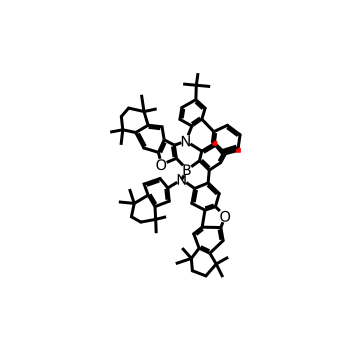 Cc1cc2c3c(c1)N(c1ccc(C(C)(C)C)cc1-c1ccccc1)c1c(oc4cc5c(cc14)C(C)(C)CCC5(C)C)B3N(c1ccc3c(c1)C(C)(C)CCC3(C)C)c1cc3c(cc1-2)oc1cc2c(cc13)C(C)(C)CCC2(C)C